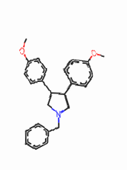 COc1ccc(C2CN(Cc3ccccc3)CC2c2ccc(OC)cc2)cc1